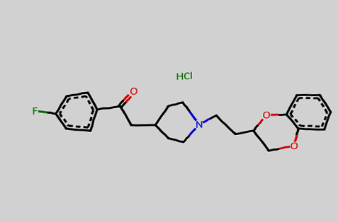 Cl.O=C(CC1CCN(CCC2COc3ccccc3O2)CC1)c1ccc(F)cc1